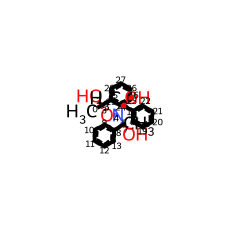 CC(O)(ON(C(C)(O)c1ccccc1)C(C)(O)c1ccccc1)c1ccccc1